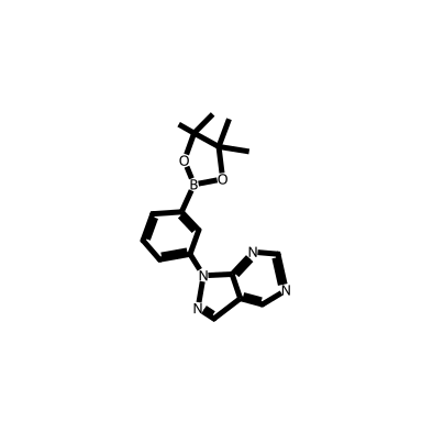 CC1(C)OB(c2cccc(-n3ncc4cncnc43)c2)OC1(C)C